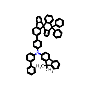 CC1(C)c2ccccc2-c2ccc(N(c3ccc(-c4ccc5c(c4)C4(c6ccccc6C(c6ccccc6)(c6ccccc6)c6ccccc64)C4C=CC=CC54)cc3)c3cccc(-c4ccccc4)c3)cc21